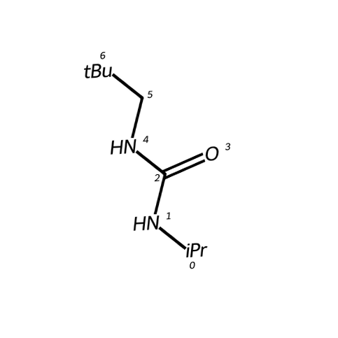 CC(C)NC(=O)NCC(C)(C)C